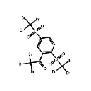 O=C(c1cc(S(=O)(=O)C(Br)(Br)Br)ccc1S(=O)(=O)C(Br)(Br)Br)C(Br)(Br)Br